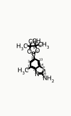 Cc1cc(B2OC(C)(C)C(C)(C)O2)cc2sc(N)nc12